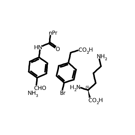 CCCC(=O)Nc1ccc(C=O)cc1.N.NCCC[C@H](N)C(=O)O.O=C(O)Cc1ccc(Br)cc1